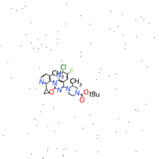 Cc1ccnc(C2CC2)c1-n1c(=O)nc(N2CCN(C(=O)OC(C)(C)C)CC2C)c2cc(F)c(Cl)nc21